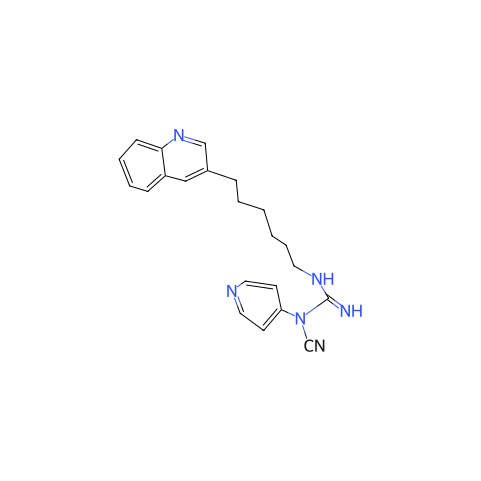 N#CN(C(=N)NCCCCCCc1cnc2ccccc2c1)c1ccncc1